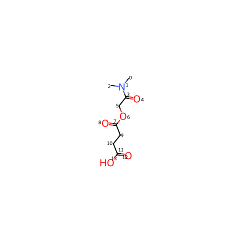 CN(C)C(=O)COC(=O)CCC(=O)O